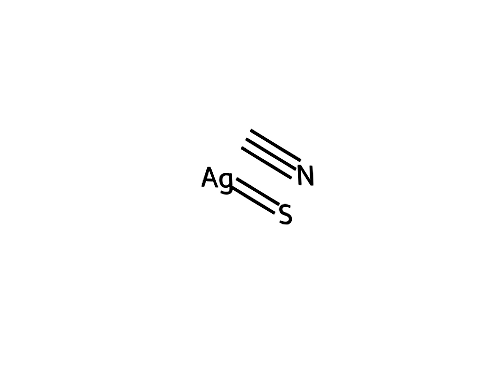 C#N.[S]=[Ag]